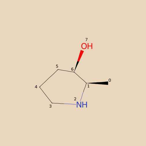 C[C@H]1NCCC[C@H]1O